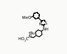 COc1cccc(-c2csc(NC3CCC(CN(C(=O)O)C(C)(C)C)CC3)n2)c1